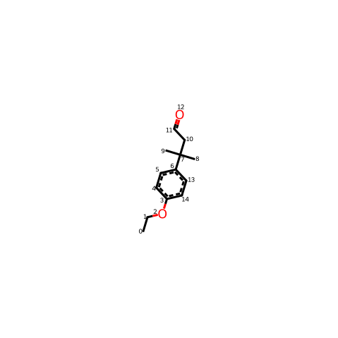 CCOc1ccc(C(C)(C)CC=O)cc1